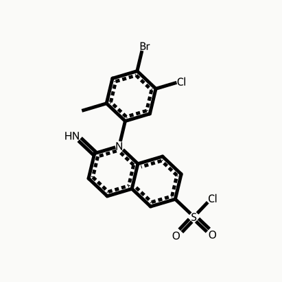 Cc1cc(Br)c(Cl)cc1-n1c(=N)ccc2cc(S(=O)(=O)Cl)ccc21